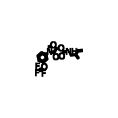 C=CC(C)CNC(=O)OC1OCN(c2cccc(OC(F)(F)F)c2)C1=O